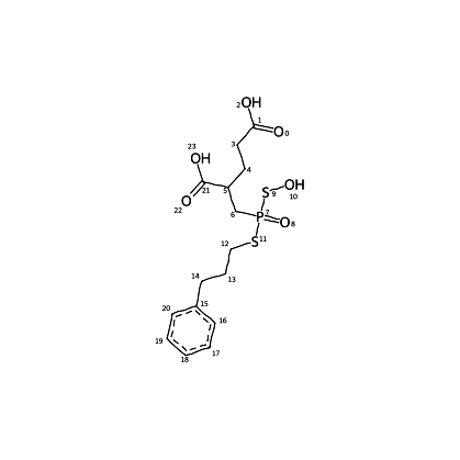 O=C(O)CCC(CP(=O)(SO)SCCCc1ccccc1)C(=O)O